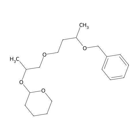 CC(CCOCC(C)OC1CCCCO1)OCc1ccccc1